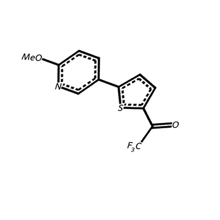 COc1ccc(-c2ccc(C(=O)C(F)(F)F)s2)cn1